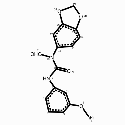 CC(C)Oc1cccc(NC(=O)N(C=O)c2ccc3c(c2)OCO3)c1